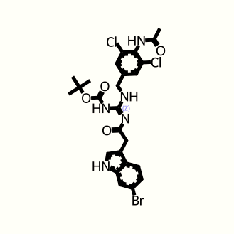 CC(=O)Nc1c(Cl)cc(CN/C(=N/C(=O)Cc2c[nH]c3cc(Br)ccc23)NC(=O)OC(C)(C)C)cc1Cl